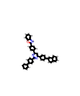 c1ccc(-c2ccc(-c3nc(-c4ccc(-c5ccc6ccccc6c5)cc4)cc(-c4ccc(-c5nc6ccccc6o5)cc4)n3)cc2)cc1